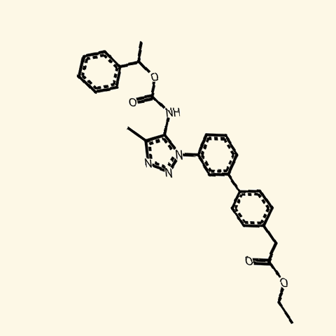 CCOC(=O)Cc1ccc(-c2cccc(-n3nnc(C)c3NC(=O)OC(C)c3ccccc3)c2)cc1